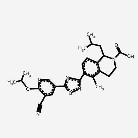 Cc1c(-c2noc(-c3cnc(OC(C)C)c(C#N)c3)n2)ccc2c1CCN(C(=O)O)C2CC(C)C